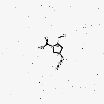 [N-]=[N+]=N[C@@H]1C[C@@H](CCl)N(C(=O)O)C1